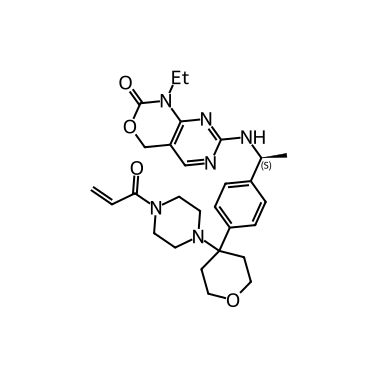 C=CC(=O)N1CCN(C2(c3ccc([C@H](C)Nc4ncc5c(n4)N(CC)C(=O)OC5)cc3)CCOCC2)CC1